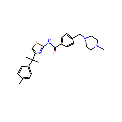 Cc1ccc(C(C)(C)c2csc(NC(=O)c3ccc(CN4CCN(C)CC4)cc3)n2)cc1